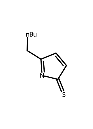 CCCCCC1=NC(=S)C=C1